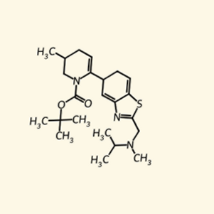 CC1CC=C(C2C=c3nc(CN(C)C(C)C)sc3=CC2)N(C(=O)OC(C)(C)C)C1